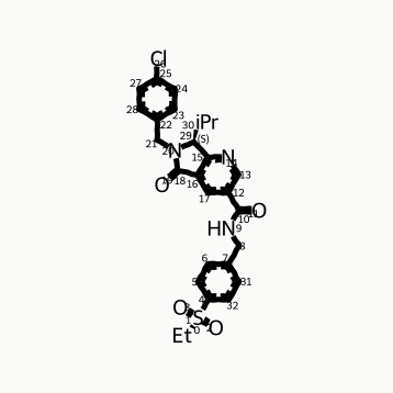 CCS(=O)(=O)c1ccc(CNC(=O)c2cnc3c(c2)C(=O)N(Cc2ccc(Cl)cc2)[C@H]3C(C)C)cc1